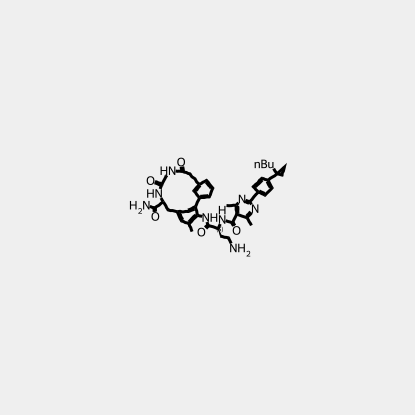 CCCCC1(c2ccc(-c3nc(C)c(C(=O)N[C@@H](CCN)C(=O)Nc4c(C)cc5cc4-c4cccc(c4)CC(=O)NCC(=O)NC(C(N)=O)C5)c(C)n3)cc2)CC1